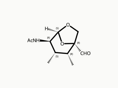 CC(=O)N[C@H]1[C@H]2OC[C@](C=O)(O2)[C@H](C)[C@@H]1C